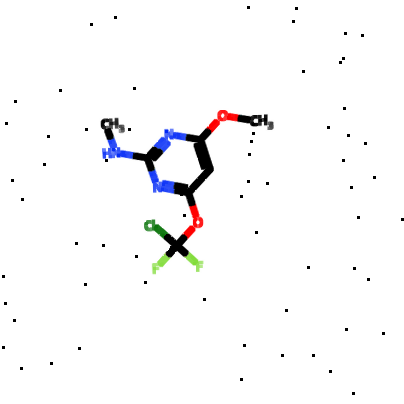 CNc1nc(OC)cc(OC(F)(F)Cl)n1